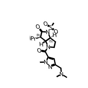 CC(C)[C@H]1C(=O)N(S(C)(=O)=O)[C@H]2CCN(C(=O)c3cc(CN(C)C)nn3C)[C@H]12